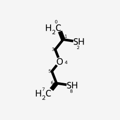 C=C(S)COCC(=C)S